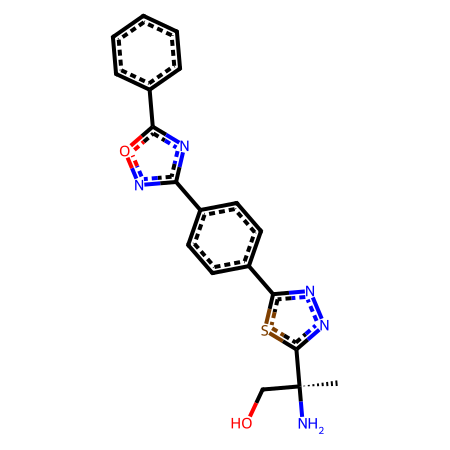 C[C@](N)(CO)c1nnc(-c2ccc(-c3noc(-c4ccccc4)n3)cc2)s1